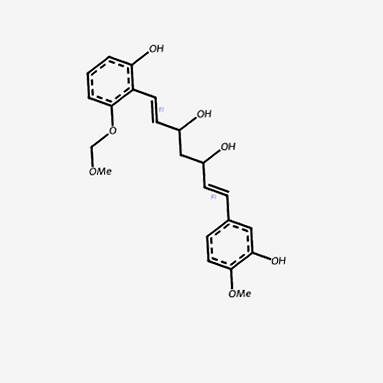 COCOc1cccc(O)c1/C=C/C(O)CC(O)/C=C/c1ccc(OC)c(O)c1